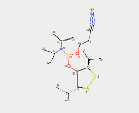 CC(C)[C@H]1SS[C@H](C(C)C)C1OP(OCCC#N)N(C(C)C)C(C)C